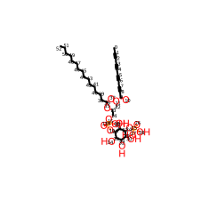 CC#CC#CC#CC#CC(=O)OC[C@H](COP(=O)(O)OC1C(O)[C@@H](OP(=O)(O)O)C(O)[C@@H](O)[C@H]1O)OC(=O)CCCCCCCCCCCCCCC